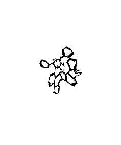 c1ccc(-c2nc(-c3ccccc3)nc(-n3c4c(ccc5sc6ccccc6c54)c4c5ccccc5c5ccccc5c43)n2)cc1